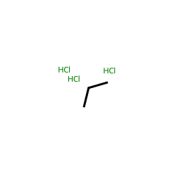 CCC.Cl.Cl.Cl